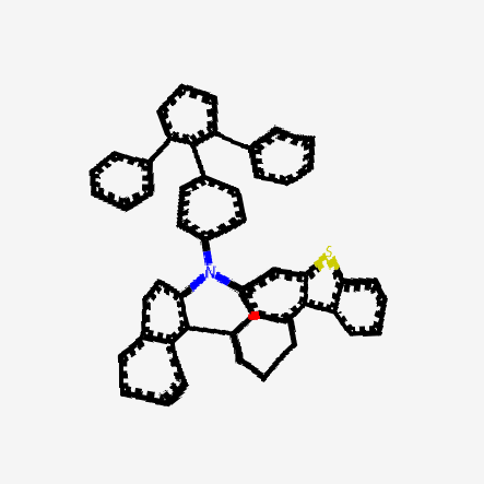 c1ccc(-c2cccc(-c3ccccc3)c2-c2ccc(N(c3ccc4c(c3)sc3ccccc34)c3ccc4ccccc4c3C3CCCCC3)cc2)cc1